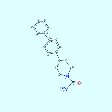 NC(=O)N1C[CH]C(c2ccc(-c3ccccc3)cc2)CC1